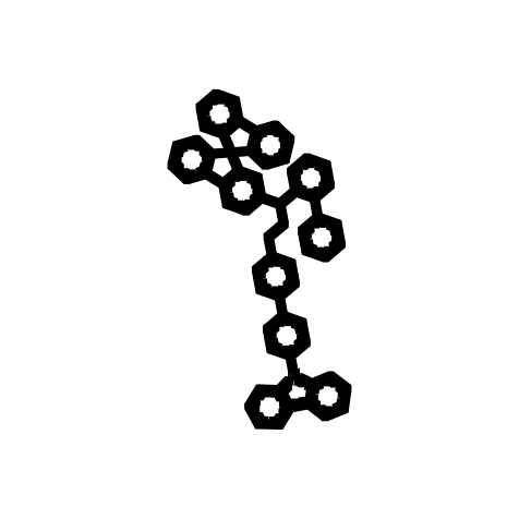 c1ccc(-c2ccccc2C(CCc2ccc(-c3ccc(-n4c5ccccc5c5ccccc54)cc3)cc2)c2ccc3c(c2)C2(c4ccccc4-c4ccccc42)c2ccccc2-3)cc1